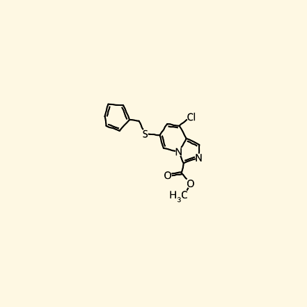 COC(=O)c1ncc2c(Cl)cc(SCc3ccccc3)cn12